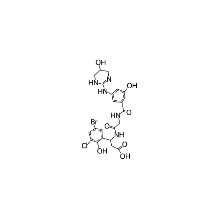 O=C(O)CC(NC(=O)CNC(=O)c1cc(O)cc(NC2=NCC(O)CN2)c1)c1cc(Br)cc(Cl)c1O